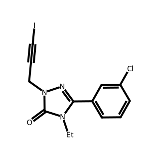 CCn1c(-c2cccc(Cl)c2)nn(CC#CI)c1=O